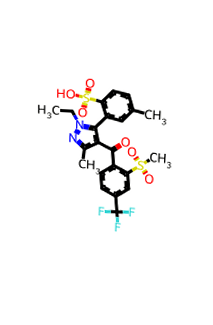 CCn1nc(C)c(C(=O)c2ccc(C(F)(F)F)cc2S(C)(=O)=O)c1-c1cc(C)ccc1S(=O)(=O)O